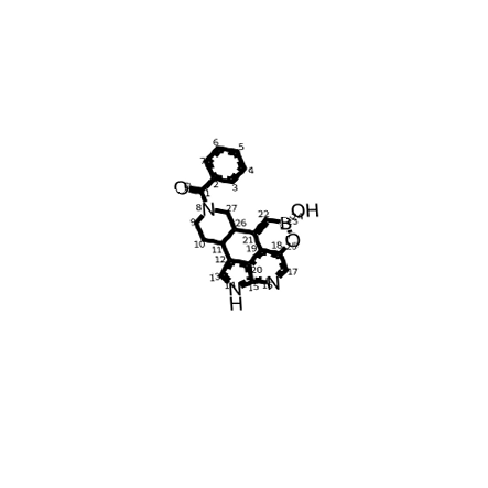 O=C(c1ccccc1)N1CCC2c3c[nH]c4ncc5c(c34)C(=CB(O)O5)C2C1